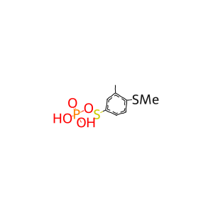 CSc1ccc(SOP(=O)(O)O)cc1C